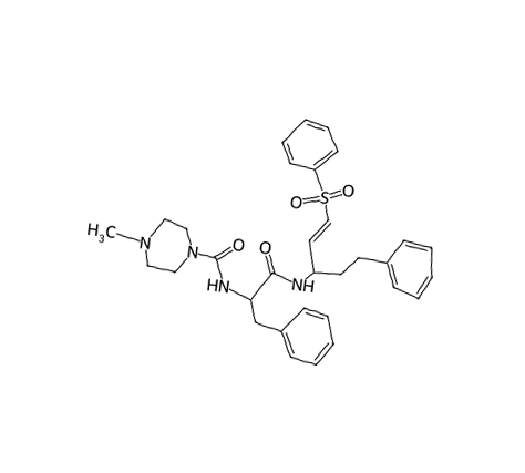 CN1CCN(C(=O)NC(Cc2ccccc2)C(=O)NC(/C=C/S(=O)(=O)c2ccccc2)CCc2ccccc2)CC1